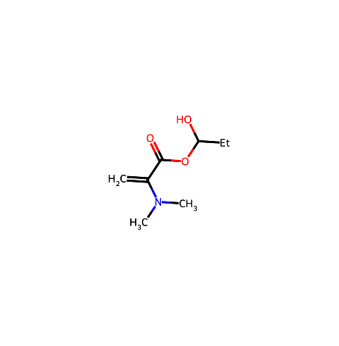 C=C(C(=O)OC(O)CC)N(C)C